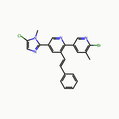 Cc1cc(-c2ncc(-c3ncc(Cl)n3C)cc2C=Cc2ccccc2)cnc1Br